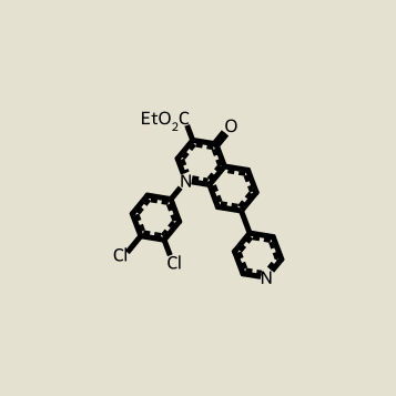 CCOC(=O)c1cn(-c2ccc(Cl)c(Cl)c2)c2cc(-c3ccncc3)ccc2c1=O